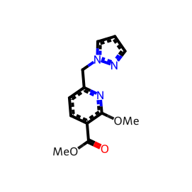 COC(=O)c1ccc(Cn2cccn2)nc1OC